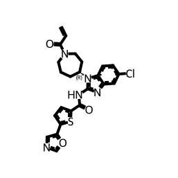 C=CC(=O)N1CCC[C@@H](n2c(NC(=O)c3ccc(-c4cnco4)s3)nc3cc(Cl)ccc32)CC1